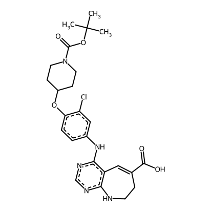 CC(C)(C)OC(=O)N1CCC(Oc2ccc(Nc3ncnc4c3C=C(C(=O)O)CCN4)cc2Cl)CC1